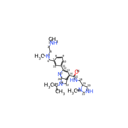 CNCCN(C)Cc1cccc(-c2cc(C(=O)NCC3CNCN3C)c3c(n2)N(C(C)C)C3)c1